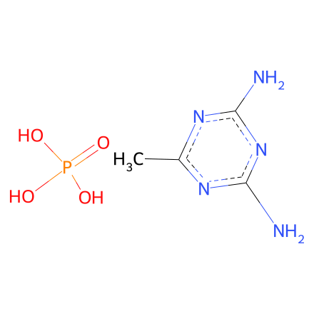 Cc1nc(N)nc(N)n1.O=P(O)(O)O